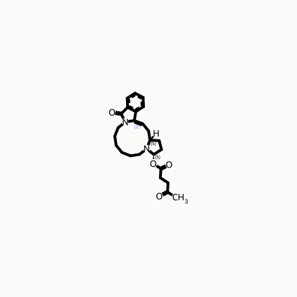 CC(=O)CCC(=O)O[C@H]1CC[C@H]2C/C=C3/c4ccccc4C(=O)N3CCCCCCN21